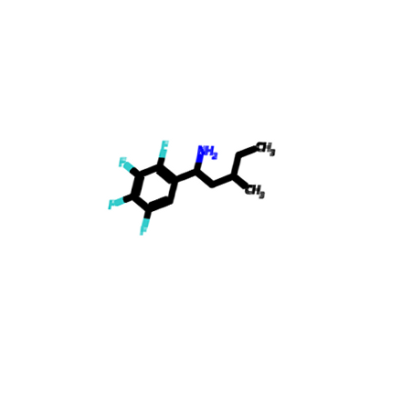 CCC(C)CC(N)c1cc(F)c(F)c(F)c1F